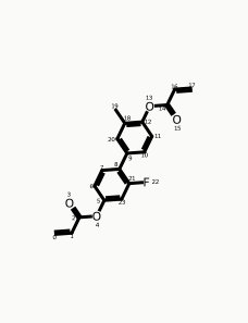 C=CC(=O)Oc1ccc(-c2ccc(OC(=O)C=C)c(C)c2)c(F)c1